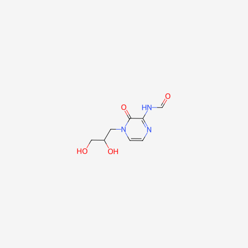 O=CNc1nccn(CC(O)CO)c1=O